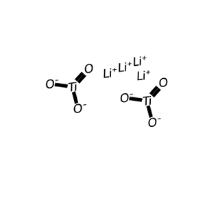 [Li+].[Li+].[Li+].[Li+].[O]=[Ti]([O-])[O-].[O]=[Ti]([O-])[O-]